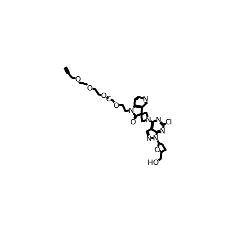 C#CCOCCOCCOCCOCCN1C(=O)C2(CN(c3nc(Cl)nc4c3cnn4C3CCC(CO)O3)C2)c2cnccc21